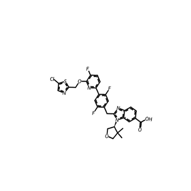 CC1(C)COC[C@H]1n1c(Cc2cc(F)c(-c3ccc(F)c(OCc4ncc(Cl)s4)n3)cc2F)nc2ccc(C(=O)O)cc21